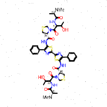 CN[C@@H](C)C(=O)N[C@H](C(=O)N1CSC[C@H]1C(=O)Nc1sc(-c2nc(-c3ccccc3)c(NC(=O)[C@@H]3CSCN3C(=O)[C@@H](NC(=O)[C@H](C)NC)C(C)O)s2)nc1-c1ccccc1)C(C)O